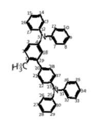 Cc1ccc(N(c2ccccc2)c2ccccc2)cc1-c1ccc(N(c2ccccc2)c2ccccc2)cc1